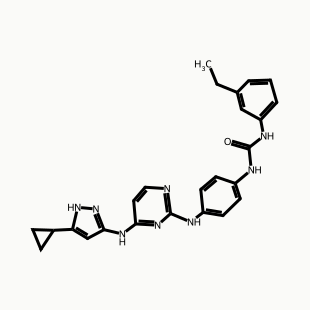 CCc1cccc(NC(=O)Nc2ccc(Nc3nccc(Nc4cc(C5CC5)[nH]n4)n3)cc2)c1